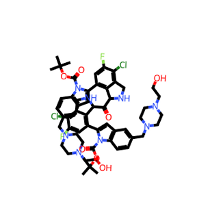 CC(C)(C)OC(=O)n1c(-c2cc(F)c(Cl)c3c2C(C(=O)C2NCc4c(Cl)c(F)cc(-c5cc6cc(CN7CCN(CCO)CC7)ccc6n5C(=O)OC(C)(C)C)c42)NC3)cc2cc(CN3CCN(CCO)CC3)ccc21